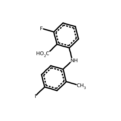 Cc1cc(I)ccc1Nc1cccc(F)c1C(=O)O